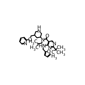 CC(C)CN(C(=O)c1cnc(C(C)(C)C)nc1NCc1ccco1)C1CNCC(COc2ccccn2)C1